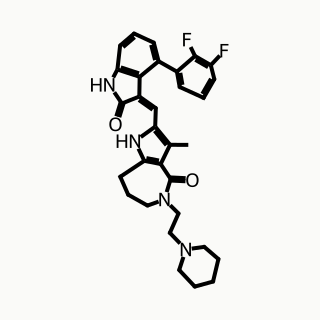 Cc1c(C=C2C(=O)Nc3cccc(-c4cccc(F)c4F)c32)[nH]c2c1C(=O)N(CCN1CCCCC1)CCC2